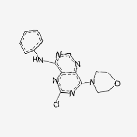 Clc1nc(N2CCOCC2)c2ncnc(Nc3ccccc3)c2n1